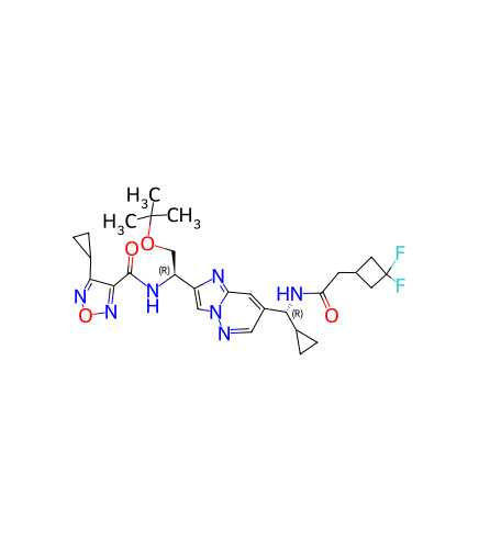 CC(C)(C)OC[C@H](NC(=O)c1nonc1C1CC1)c1cn2ncc([C@H](NC(=O)CC3CC(F)(F)C3)C3CC3)cc2n1